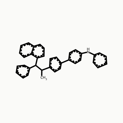 CC(c1ccc(-c2ccc(Nc3ccccc3)cc2)cc1)C(c1ccccc1)c1cccc2ccccc12